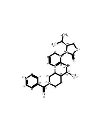 CC(C)[C@H]1COC(=O)N1N1CC=CN=C1N[C@@H](C)C1CCN(C(=O)c2ccncc2)CC1